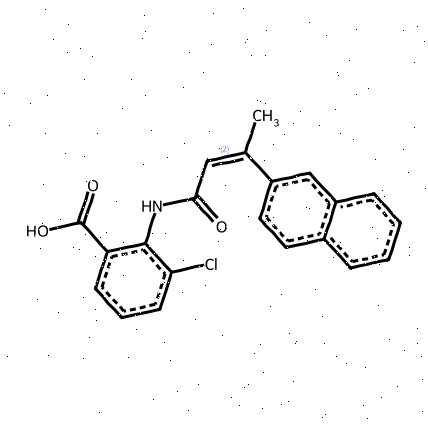 C/C(=C/C(=O)Nc1c(Cl)cccc1C(=O)O)c1ccc2ccccc2c1